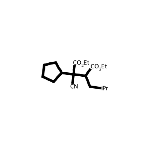 CCOC(=O)C(CC(C)C)C(C#N)(C(=O)OCC)C1CCCC1